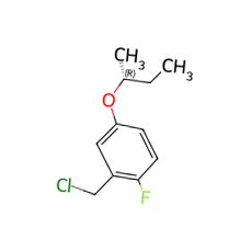 CC[C@@H](C)Oc1ccc(F)c(CCl)c1